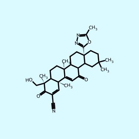 Cc1nnc([C@@]23CCC4C(C(=O)C=C5[C@@]6(C)C=C(C#N)C(=O)[C@@](C)(CO)C6CC[C@]54C)C2CC(C)(C)CC3)o1